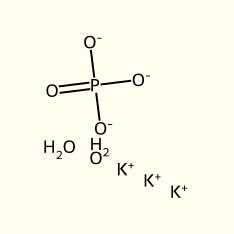 O.O.O=P([O-])([O-])[O-].[K+].[K+].[K+]